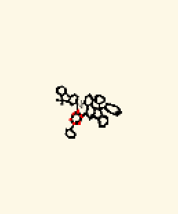 CC1(C)c2ccccc2-c2ccc(N(c3ccc(-c4ccccc4)cc3)c3cccc4c5c(cc(-c6ccccc6)c34)-c3ccccc3C5(c3ccccc3)c3ccccc3)cc21